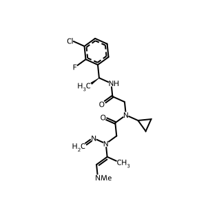 C=NN(CC(=O)N(CC(=O)N[C@@H](C)c1cccc(Cl)c1F)C1CC1)/C(C)=C/NC